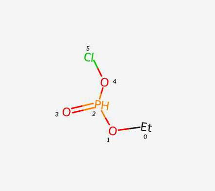 CCO[PH](=O)OCl